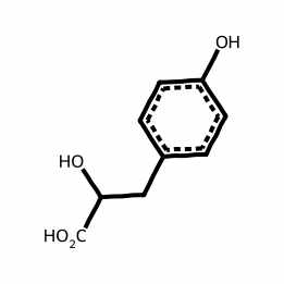 O=C(O)C(O)Cc1ccc(O)cc1